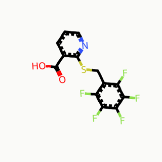 O=C(O)c1cccnc1SCc1c(F)c(F)c(F)c(F)c1F